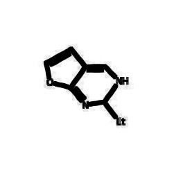 CCC1N=c2occc2=CN1